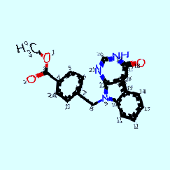 COC(=O)c1ccc(Cn2c3ccccc3c3c(=O)[nH]cnc32)cc1